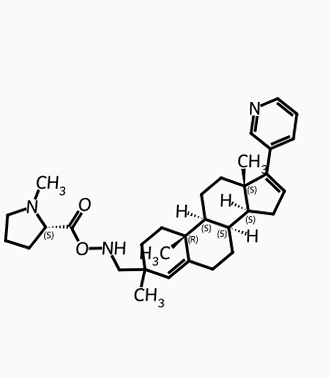 CN1CCC[C@H]1C(=O)ONCC1(C)C=C2CC[C@H]3[C@H](CC[C@]4(C)C(c5cccnc5)=CC[C@@H]34)[C@@]2(C)CC1